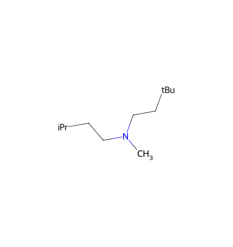 CC(C)CCN(C)CCC(C)(C)C